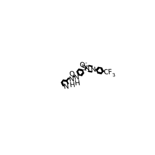 O=C(NCc1cccnc1)Nc1ccc([S+]([O-])N2CCN(c3ccc(C(F)(F)F)cc3)CC2)cc1